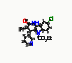 CCOC(=O)n1c2ccc(Cl)cc2c2[nH]c(=O)c(C(C)C)c(-c3cccnc3)c21